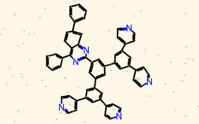 c1ccc(-c2ccc3c(-c4ccccc4)nc(-c4cc(-c5cc(-c6ccncc6)cc(-c6ccncc6)c5)cc(-c5cc(-c6ccncc6)cc(-c6ccncc6)c5)c4)nc3c2)cc1